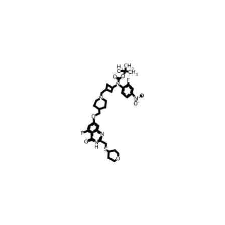 CC(C)(C)OC(=O)N(c1ccc([N+](=O)[O-])cc1F)C1CC(CN2CCC(COc3cc(F)c4c(=O)[nH]c(CSC5CCOCC5)nc4c3)CC2)C1